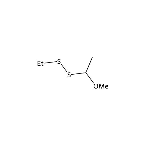 CCSSC(C)OC